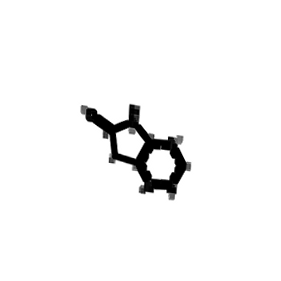 O=C1Cc2nncnc2N1